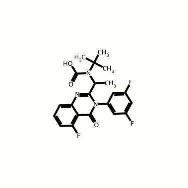 CC(c1nc2cccc(F)c2c(=O)n1-c1cc(F)cc(F)c1)N(C(=O)O)C(C)(C)C